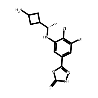 C[C@H](Nc1cc(-c2n[nH]c(=O)o2)cc(Br)c1Cl)C1CC(N)C1